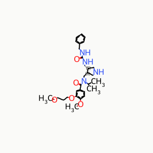 COCCCOc1cc(C(=O)N(C[C@@H]2CNC[C@H]2CNC(=O)NCc2ccccc2)C(C)C)ccc1OC